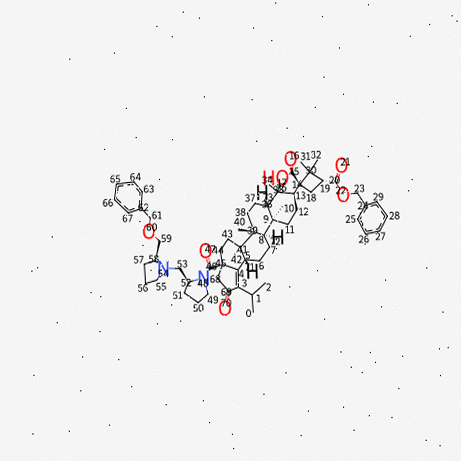 CC(C)C1=C2[C@H]3CC[C@@H]4[C@]5(C)CC[C@H]([C@@]6(C(=O)O)C[C@@H](C(=O)OCc7ccccc7)C6(C)C)C(C)(C)[C@H]5CC[C@@]4(C)[C@]3(C)CC[C@@]2(C(=O)N2CCC[C@H]2CN2CCC[C@H]2COCc2ccccc2)CC1=O